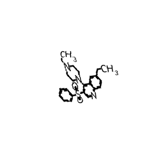 CCc1ccc2ncc(S(=O)(=O)c3ccccc3)c(N3CCN(CC)CC3)c2c1